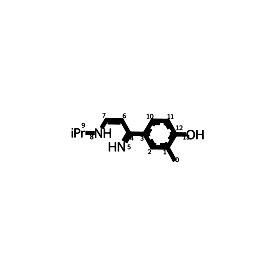 Cc1cc(C(=N)/C=C\NC(C)C)ccc1O